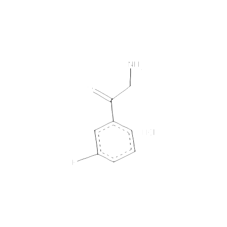 Cl.NCC(=O)c1cccc(F)c1